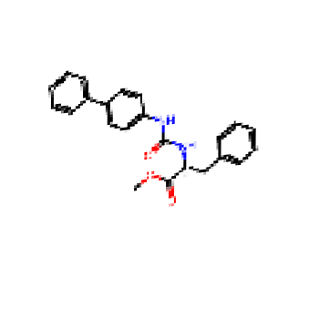 COC(=O)[C@H](Cc1ccccc1)NC(=O)Nc1ccc(-c2ccccc2)cc1